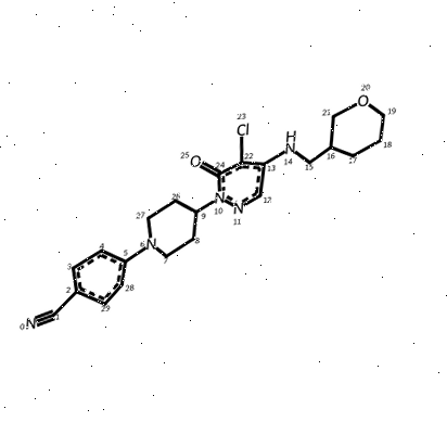 N#Cc1ccc(N2CCC(n3ncc(NCC4CCCOC4)c(Cl)c3=O)CC2)cc1